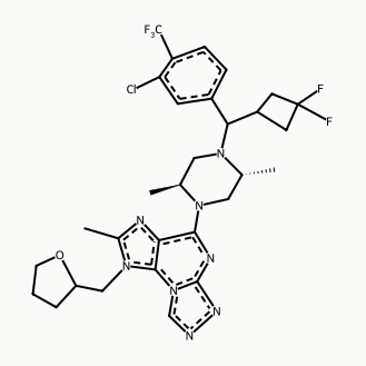 Cc1nc2c(N3C[C@@H](C)N(C(c4ccc(C(F)(F)F)c(Cl)c4)C4CC(F)(F)C4)C[C@@H]3C)nc3nncn3c2n1CC1CCCO1